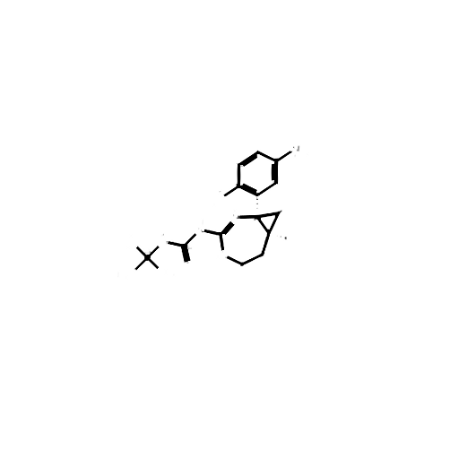 Cc1ccc(N)cc1[C@]12C[C@H]1CCSC(NC(=O)OC(C)(C)C)=N2